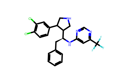 FC(F)(F)c1cc(N[C@@H](Cc2ccccc2)C2CNCC2c2ccc(Cl)c(Cl)c2)ncn1